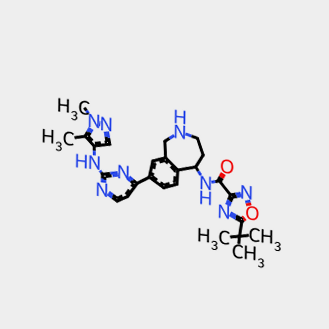 Cc1c(Nc2nccc(-c3ccc4c(c3)CNCCC4NC(=O)c3noc(C(C)(C)C)n3)n2)cnn1C